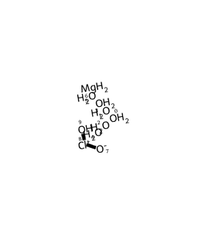 O.O.O.O.O.O.[MgH2].[O-][Cl+]O